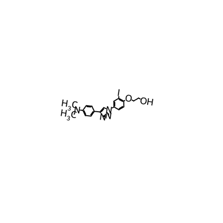 CN(C)c1ccc(-c2cn(-c3ccc(OCCO)c(I)c3)nn2)cc1